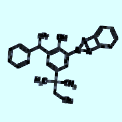 CCCC(c1ccccc1)c1cc(C(C)(C)CC(C)(C)C)cc(-n2n3c4ccccc4n23)c1O